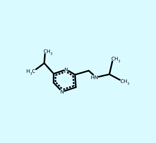 CC(C)NCc1cncc(C(C)C)n1